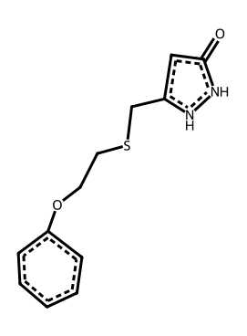 O=c1cc(CSCCOc2ccccc2)[nH][nH]1